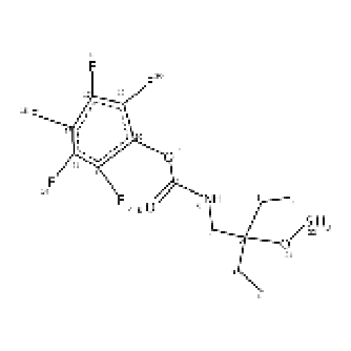 CCC(CC)(CNC(=O)Oc1c(F)c(F)c(F)c(F)c1F)O[SiH3]